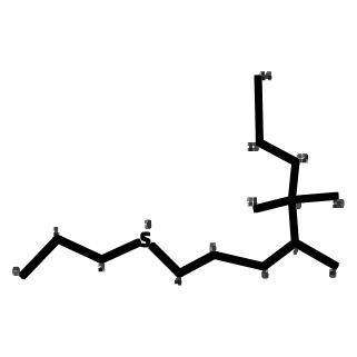 CCCSCCCC(C)C(C)(C)CCC